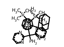 C[Si](C)(C)[C]12[CH]3[C]4(C(P)(c5ncccn5)c5ncccn5)[C]5(C6(CP)C7CC8CC(C7)CC6C8)[C]1([Si](C)(C)C)[Fe]34521678[CH]2[CH]1[CH]6[CH]7[CH]28